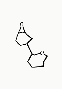 C1CCC(C2CCC3OC3C2)OC1